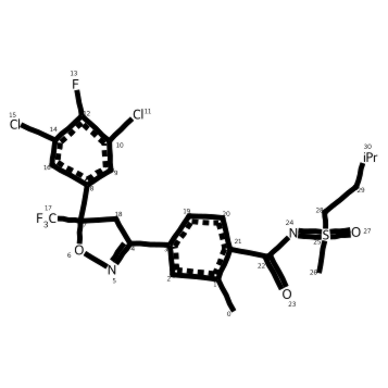 Cc1cc(C2=NOC(c3cc(Cl)c(F)c(Cl)c3)(C(F)(F)F)C2)ccc1C(=O)N=S(C)(=O)CCC(C)C